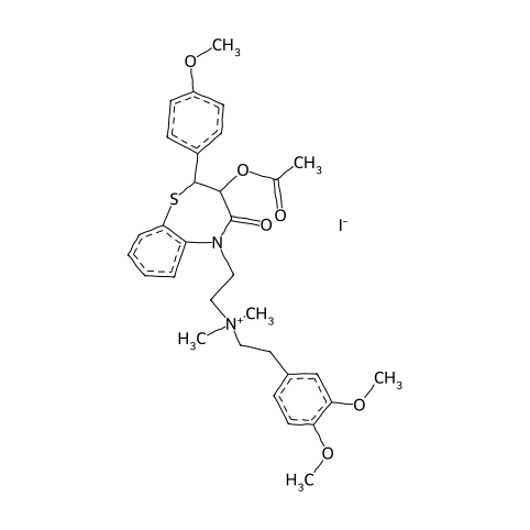 COc1ccc(C2Sc3ccccc3N(CC[N+](C)(C)CCc3ccc(OC)c(OC)c3)C(=O)C2OC(C)=O)cc1.[I-]